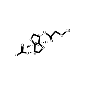 CCC(=O)O[C@H]1CO[C@H]2[C@@H]1OC[C@@H]2OC(=O)COC#N